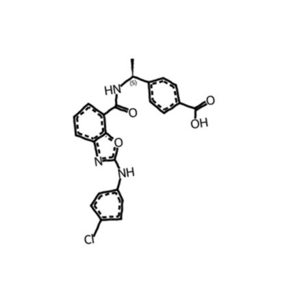 C[C@H](NC(=O)c1cccc2nc(Nc3ccc(Cl)cc3)oc12)c1ccc(C(=O)O)cc1